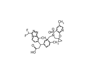 Cc1cnc2c(c1)S(=O)(=O)N(Cc1cc(C(CC(=O)O)c3ccn4c(C(F)F)nnc4c3C)ccc1C)CC1(CC1)O2